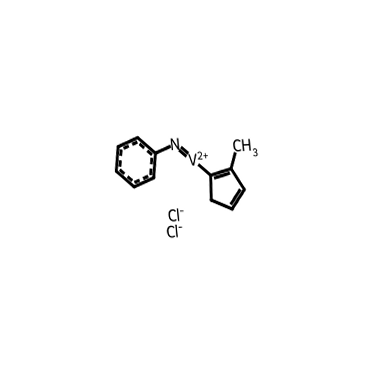 CC1=[C](/[V+2]=[N]/c2ccccc2)CC=C1.[Cl-].[Cl-]